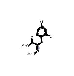 CO/N=C(/Cc1ccc(Cl)cc1Cl)C(=O)OC